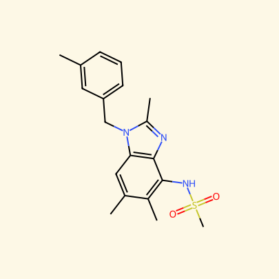 Cc1cccc(Cn2c(C)nc3c(NS(C)(=O)=O)c(C)c(C)cc32)c1